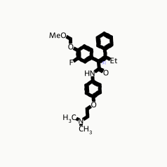 CC/C(=C(\C(=O)Nc1ccc(OCCN(C)C)cc1)c1ccc(OCOC)c(F)c1)c1ccccc1